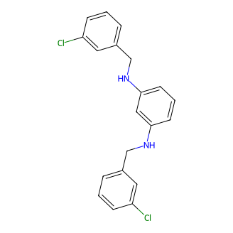 Clc1cccc(CNc2cccc(NCc3cccc(Cl)c3)c2)c1